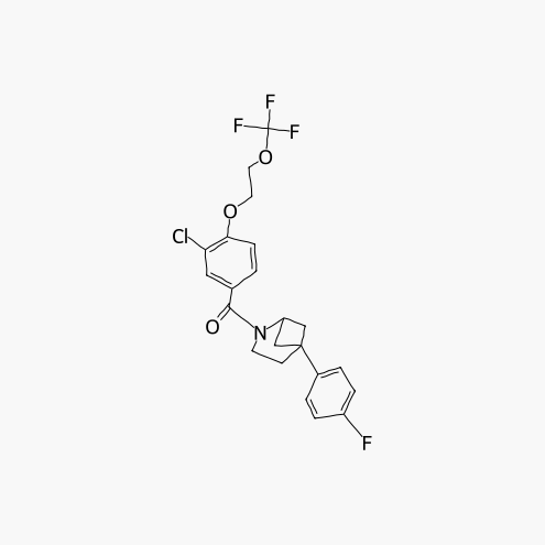 O=C(c1ccc(OCCOC(F)(F)F)c(Cl)c1)N1CCC2(c3ccc(F)cc3)CC1C2